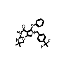 CN1C(=O)c2c(cn(Cc3ccc(C(C)(F)F)cc3)c2Sc2ccccc2)N2CC(C)(C)N=C12